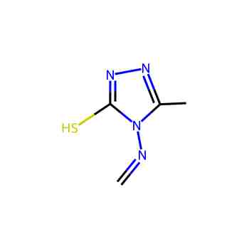 C=Nn1c(C)nnc1S